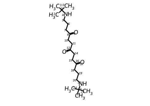 CC(C)(C)NCCCC(=O)CCC(=O)CCC(=O)CCCNC(C)(C)C